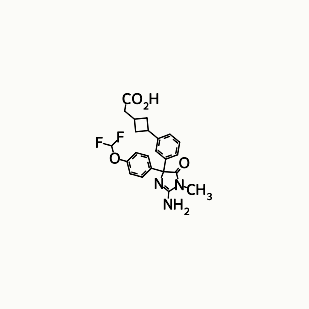 CN1C(=O)C(c2ccc(OC(F)F)cc2)(c2cccc(C3CC(CC(=O)O)C3)c2)N=C1N